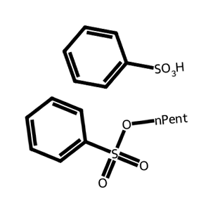 CCCCCOS(=O)(=O)c1ccccc1.O=S(=O)(O)c1ccccc1